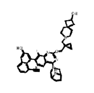 C#Cc1cccc2cc(O)cc(-c3c(F)cc4c(N5CC6CCC(C5)N6)nc(OCC5(CN6CCC7(CC6)CC(O)C7)CC5)nc4c3F)c12